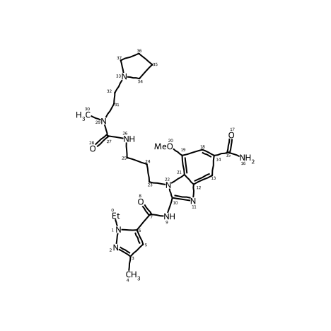 CCn1nc(C)cc1C(=O)Nc1nc2cc(C(N)=O)cc(OC)c2n1CCCNC(=O)N(C)CCN1CCCC1